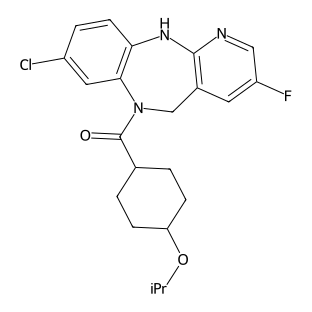 CC(C)OC1CCC(C(=O)N2Cc3cc(F)cnc3Nc3ccc(Cl)cc32)CC1